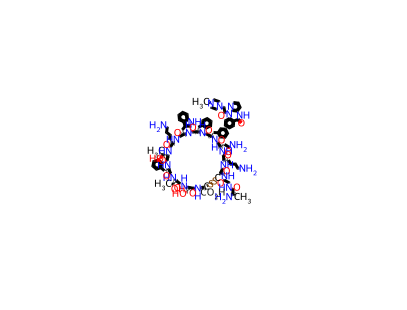 CC(O)[C@@H]1NC(=O)[C@H](Cc2ccccc2)NC(=O)[C@H](C(C)O)NC(=O)[C@H](CCCCN)NC(=O)[C@H](Cc2c[nH]c3ccccc23)NC(=O)[C@H](Cc2ccccc2)NC(=O)[C@H](Cc2ccccc2)NC(=O)[C@H](CC(N)=O)NC(=O)[C@H](CCCCN)NC(=O)[C@@H](NC(=O)CNC(=O)[C@H](C)N)CSSC[C@@H](C(=O)O)NC(=O)[C@H](CO)NC1=O.CN1CCN(CC(=O)N2c3ccccc3C(=O)Nc3cccnc32)CC1